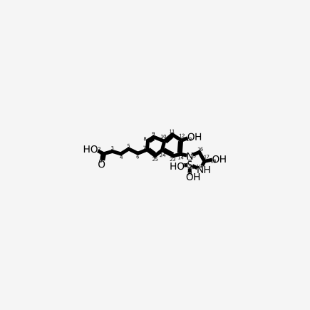 O=C(O)CCCCc1ccc2cc(O)c(N3CC(O)NS3(O)O)cc2c1